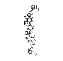 CCCCCC1CCC2C(C(=O)OC3CCC(c4ccc(OCCCC)c(F)c4F)CC3)CCC12